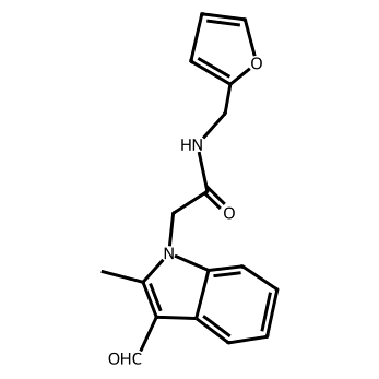 Cc1c(C=O)c2ccccc2n1CC(=O)NCc1ccco1